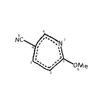 [CH2]Oc1ccc(C#N)cn1